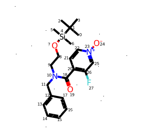 CC(C)(C)[Si](C)(C)OCCN(Cc1ccccc1)C(=O)c1cc[n+]([O-])cc1F